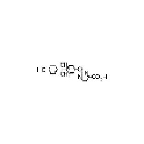 CC(C)(c1ccc(O)cc1)c1ccc(Oc2nccc(C(=O)O)n2)cc1